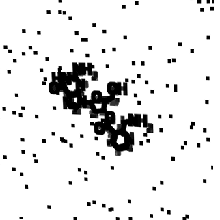 NCc1ncccc1C(=O)O[C@@H]1C[C@H](n2cnc3c(=O)[nH]c(N)nc32)OC1CO